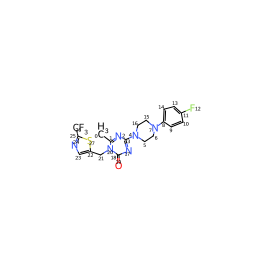 Cc1nc(N2CCN(c3ccc(F)cc3)CC2)nc(=O)n1Cc1cnc(C(F)(F)F)s1